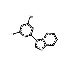 Oc1cc(O)nc(-c2cnc3ccccn23)n1